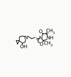 C[C@@H]1NCC2(C)OC[C@H](CCCN3CCC4(CC4)C(O)C3)N2C1=O